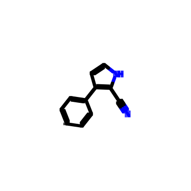 N#Cc1[nH]ccc1-c1cc[c]cc1